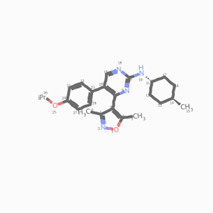 Cc1noc(C)c1-c1nc(N[C@H]2CC[C@H](C)CC2)ncc1-c1ccc(OC(C)C)cc1